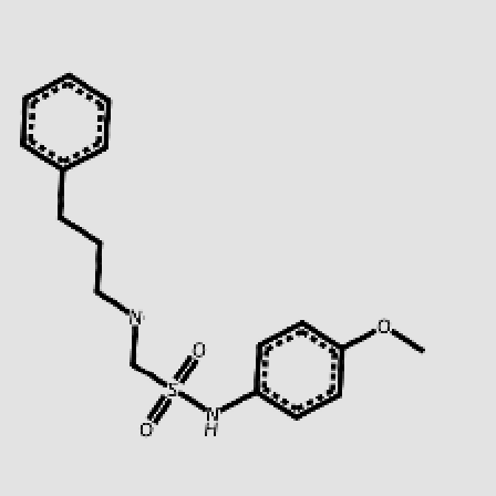 COc1ccc(NS(=O)(=O)C[N]CCCc2ccccc2)cc1